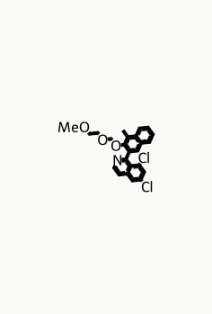 COCCOCOc1c(-c2nccc3cc(Cl)cc(Cl)c23)cc2ccccc2c1C